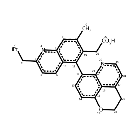 Cc1cc2nc(CC(C)C)ccc2c(-c2ccc3c4c(ccnc24)CCO3)c1CC(=O)O